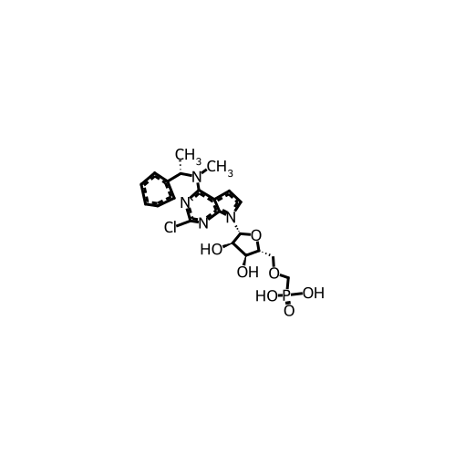 C[C@@H](c1ccccc1)N(C)c1nc(Cl)nc2c1ccn2[C@@H]1O[C@H](COCP(=O)(O)O)[C@@H](O)[C@H]1O